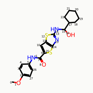 COc1ccc(NC(=O)c2cc3sc(NC(O)C4CCCCC4)nc3s2)cc1